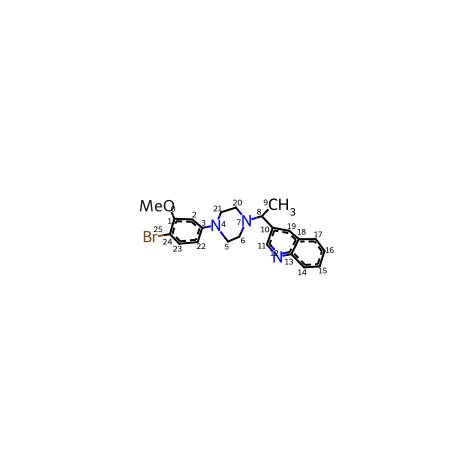 COc1cc(N2CCN(C(C)c3cnc4ccccc4c3)CC2)ccc1Br